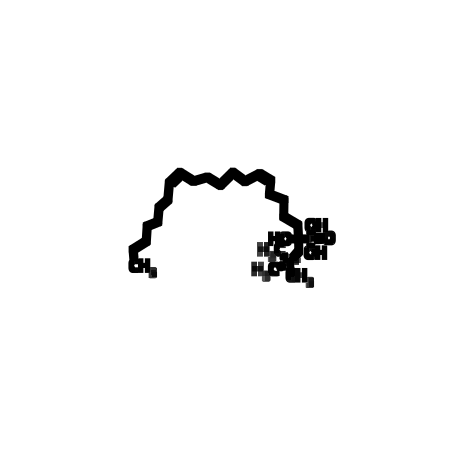 CCCCCCC/C=C\CCCCC/C=C\CCCCC(O)(C[N+](C)(C)C)P(=O)(O)O